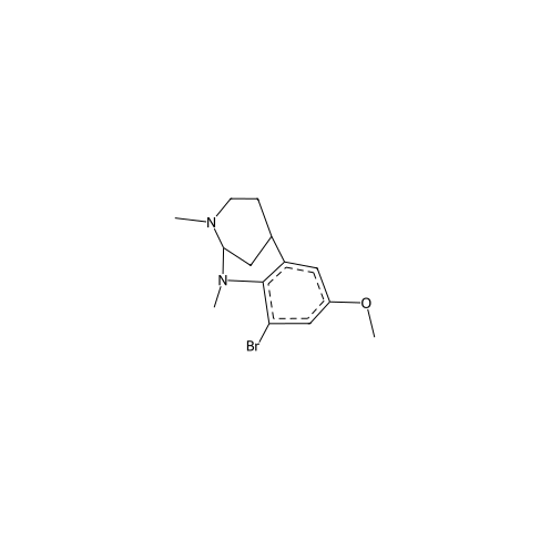 COc1cc(Br)c2c(c1)C1CCN(C)C(C1)N2C